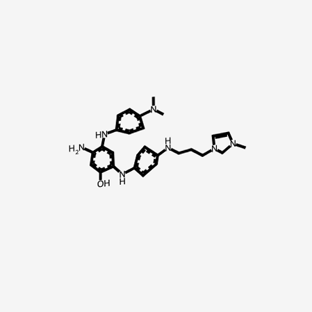 CN1C=CN(CCCNc2ccc(Nc3cc(Nc4ccc(N(C)C)cc4)c(N)cc3O)cc2)C1